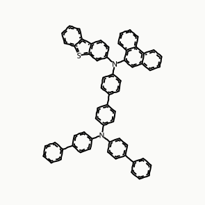 c1ccc(-c2ccc(N(c3ccc(-c4ccccc4)cc3)c3ccc(-c4ccc(N(c5ccc6c(c5)sc5ccccc56)c5cc6ccccc6c6ccccc56)cc4)cc3)cc2)cc1